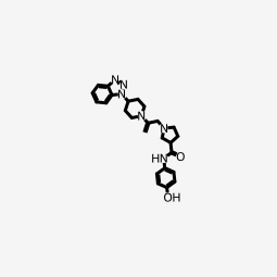 C=C(CN1CCC(C(=O)Nc2ccc(O)cc2)C1)N1CCC(n2nnc3ccccc32)CC1